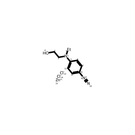 CCN(CCO)c1ccc([N+]#N)cc1.[Cl-].[Cl-].[Zn+]